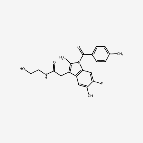 Cc1ccc(C(=O)n2c(C)c(CC(=O)NCCO)c3cc(O)c(F)cc32)cc1